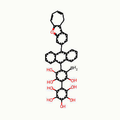 Bc1c(O)c(-c2c(O)c(O)c(O)c(O)c2O)c(O)c(O)c1-c1c2ccccc2c(-c2ccc3c4c(oc3c2)C=CC=CC4)c2ccccc12